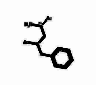 CC(=O)[C@@H](N)CN(Sc1ccccc1)C(C)=O